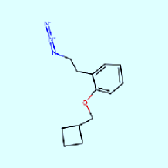 [N-]=[N+]=NCCc1ccccc1OCC1CCC1